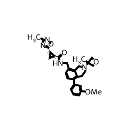 COc1cccc(-c2ccc(CNC(=O)[C@@H]3C[C@@H]3c3nc(C)no3)c3c2CCN(C2(C)COC2)C3)c1